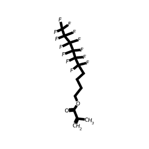 C=C(C)C(=O)OCCCCC(F)(F)C(F)(F)C(F)(F)C(F)(F)C(F)(F)C(F)(F)F